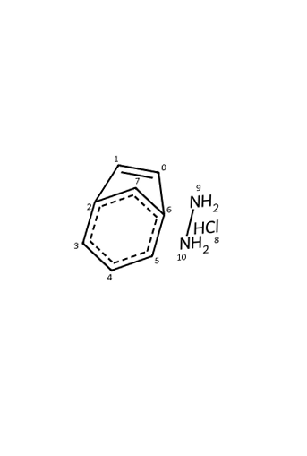 C1=Cc2cccc1c2.Cl.NN